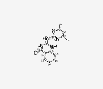 Cc1cc(C)nc(Nc2nc(=O)c3ccccc3[nH]2)n1